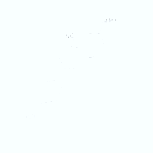 CCCCCCC1CCC2CC(C3CCC(CCC)CC3)CCC2(C#N)C1